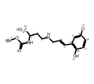 CC(C)(C)OC(=O)NC(CCNCC=Cc1cc(Cl)ccc1O)C(=O)O